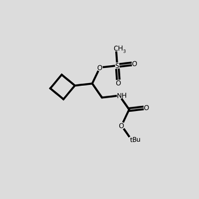 CC(C)(C)OC(=O)NCC(OS(C)(=O)=O)C1CCC1